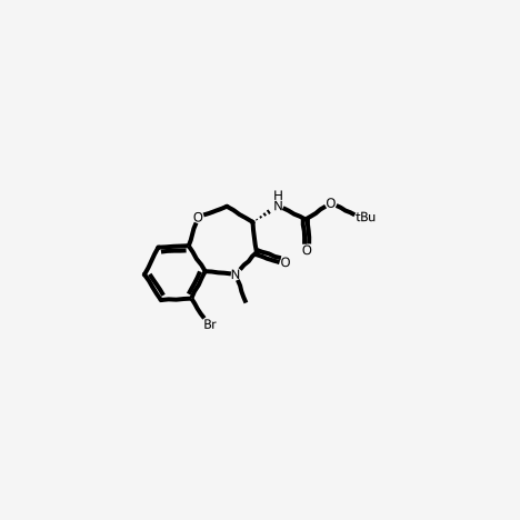 CN1C(=O)[C@@H](NC(=O)OC(C)(C)C)COc2cccc(Br)c21